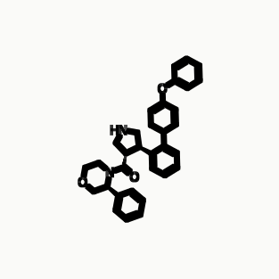 O=C([C@@H]1CNC[C@H]1c1ccccc1C1C=CC(Oc2ccccc2)=CC1)N1CCOC[C@@H]1c1ccccc1